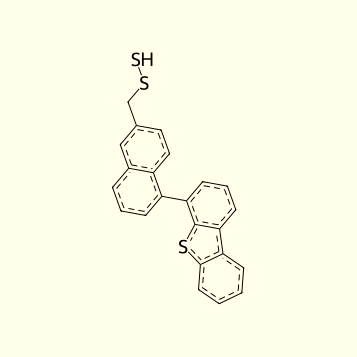 SSCc1ccc2c(-c3cccc4c3sc3ccccc34)cccc2c1